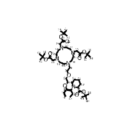 CCC(OCCOCCN1CCN(CC(=O)OC(C)(C)C)CCN(CC(=O)OC(C)(C)C)CCN(CC(=O)OC(C)(C)C)CC1)=C(CC)N1CCCC[C@H]1C(=O)OC(C)(C)C